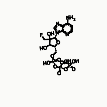 Nc1ccnc2c1ncn2[C@@H]1O[C@H](COP(=O)(O)OP(=O)(O)OP(=O)(O)O)[C@@H](O)[C@]1(O)CF